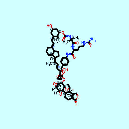 C=C1/C(=C\C=C2/CCC[C@@]3(C)C2CCC3[C@@H](C)/C=C/C(O)C2CC2)C[C@@H](O)C[C@@H]1OC(=O)NC(C)(C)C(=O)NC(CCCNC(N)=O)C(=O)Nc1ccc(COC(=O)O[C@@H]2[C@@]3(C(C)C)O[C@H]3[C@@H]3O[C@@]34[C@@]3(C)CCC5=C(COC5=O)[C@@H]3C3C[C@@]24O3)cc1